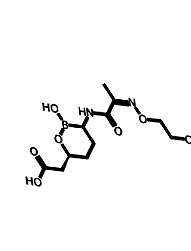 C/C(=N/OCCO)C(=O)NC1CC[C@@H](CC(=O)O)OB1O